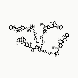 CC(C)N(Cc1cn(CCOCCOCCOc2cc(C(=O)NCc3ccc(C(=O)ON4C(=O)CCC4=O)cc3)cc(OCCOCCOCCn3cc(CN(c4ccc5cc(-c6nc7ccccc7s6)c(=O)oc5c4)C(C)C)nn3)c2OCCOCCOCCn2cc(CN(c3ccc4cc(-c5nc6ccccc6s5)c(=O)oc4c3)C(C)C)nn2)nn1)c1ccc2cc(-c3nc4ccccc4s3)c(=O)oc2c1